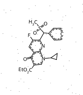 CCOC(=O)c1cn(C2CC2)c2nc(C(c3ccccc3)S(C)(=O)=O)c(F)cc2c1=O